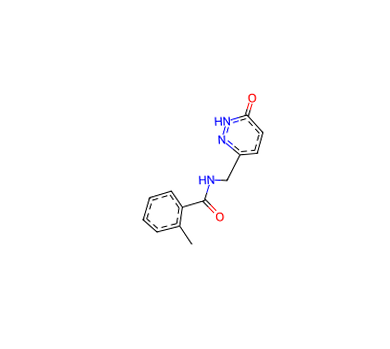 Cc1ccccc1C(=O)NCc1ccc(=O)[nH]n1